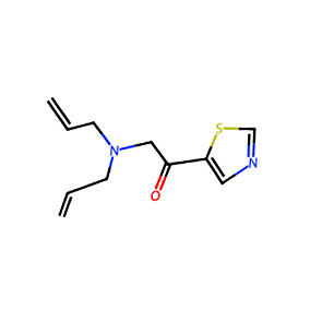 C=CCN(CC=C)CC(=O)c1cncs1